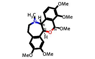 COc1cc2c(cc1OC)[C@@H]1O[C@H](OC)c3c(ccc(OC)c3OC)[C@H]1N(C)CC2